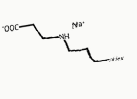 CCCCCCCCCNCCC(=O)[O-].[Na+]